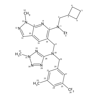 CCN(CC1CCC1)c1nc2c(cnn2C)cc1CN(Cc1cc(C)cc(C(F)(F)F)c1)c1nnn(C)n1